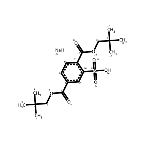 CC(C)(C)COC(=O)c1ccc(C(=O)OCC(C)(C)C)c(S(=O)(=O)O)c1.[NaH]